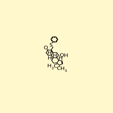 C[C@@H]1C=C[C@H]2[C@H]3[C@H](CC[C@]12C)[C@H]1CCC(=O)C(CSc2ccccc2)=C1C[C@@H]3O